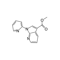 COC(=O)c1cn(-c2ccccn2)c2ncccc12